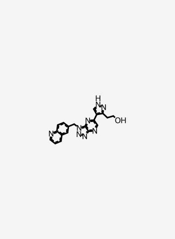 OCCc1n[nH]cc1-c1cnc2nnn(Cc3ccc4ncccc4c3)c2n1